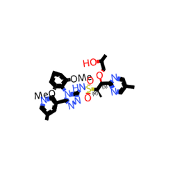 COc1cccc(OC)c1-n1c(NS(=O)(=O)[C@H](C)[C@@H](OCC(C)O)c2ncc(C)cn2)nnc1-c1cncc(C)c1